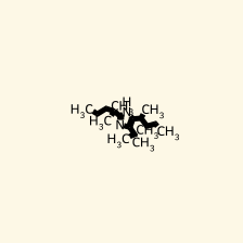 CCCC(C)c1[nH]c(C(C)(C)CCC)nc1C(C)(C)C